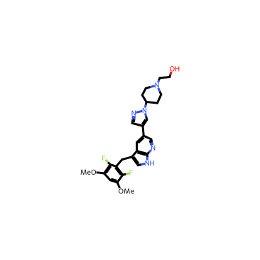 COc1cc(OC)c(F)c(Cc2c[nH]c3ncc(-c4cnn(C5CCN(CCO)CC5)c4)cc23)c1F